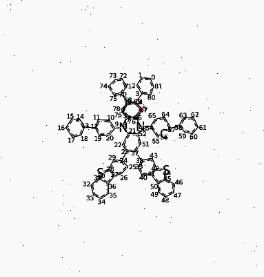 c1ccc(-c2ccc(N(c3ccc(-c4ccccc4)cc3)c3cc(-c4ccc5c(c4)sc4ccccc45)c(-c4ccc5c(c4)sc4ccccc45)cc3N(c3ccc(-c4ccccc4)cc3)c3ccc(-c4ccccc4)cc3)cc2)cc1